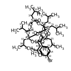 CC(C)C[Si]12O[Si]3(CCc4ccc(Br)cc4)O[Si]4(CC(C)C)O[Si](CC(C)C)(O1)O[Si]1(CC(C)C)O[Si](CC(C)C)(O2)O[Si](CC(C)C)(O3)O[Si](CC(C)C)(O4)O1